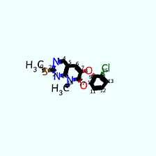 CSc1ncc2cc(Oc3ccccc3Cl)c(=O)n(C)c2n1